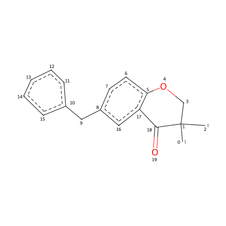 [CH]C1([CH])COc2ccc(Cc3ccccc3)cc2C1=O